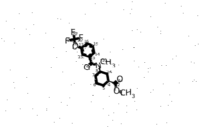 COC(=O)[C@H]1CCC[C@@H](N(C)C(=O)c2cccc(OC(F)(F)F)c2)C1